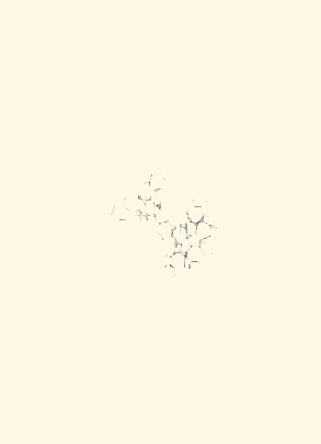 c1ccc(-c2nc(-c3ccccc3)nc(-c3ccc4c(c3)N(c3ccccc3)C(c3ccccc3)(c3ccccc3)N4c3ccccc3)n2)cc1